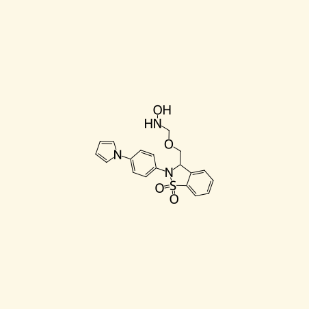 O=S1(=O)c2ccccc2C(COCNO)N1c1ccc(-n2cccc2)cc1